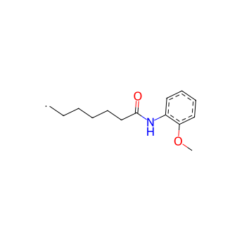 [CH2]CCCCCC(=O)Nc1ccccc1OC